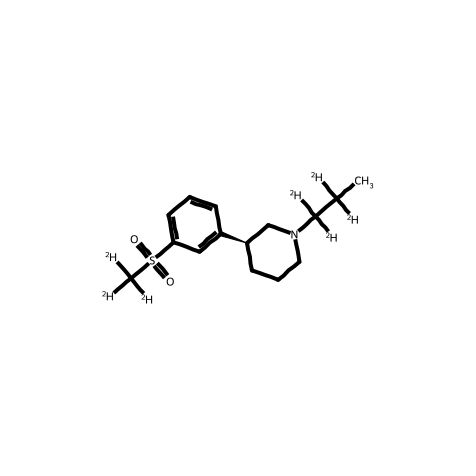 [2H]C([2H])(C)C([2H])([2H])N1CCC[C@@H](c2cccc(S(=O)(=O)C([2H])([2H])[2H])c2)C1